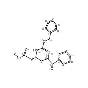 COC(=O)C[C@H](CNC(=O)c1ccccc1)NC(=O)OCc1ccccc1